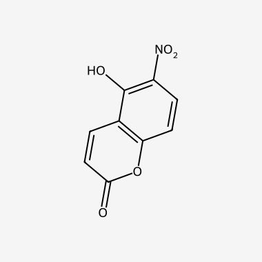 O=c1ccc2c(O)c([N+](=O)[O-])ccc2o1